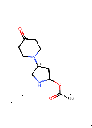 CC(C)(C)C(=O)OC1C[C@H](N2CCC(=O)CC2)CN1